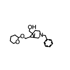 CC12CN(Cc3ccccc3)CCC1(CO)C2COC1CCCCO1